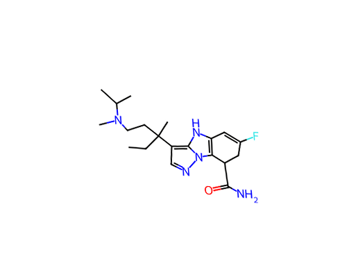 CCC(C)(CCN(C)C(C)C)c1cnn2c3c([nH]c12)C=C(F)CC3C(N)=O